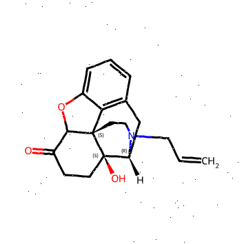 C=CCN1CC[C@]23c4c5cccc4OC2C(=O)CC[C@@]3(O)[C@H]1C5